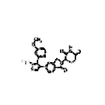 COc1cccc(-c2c(-c3ccc4c(c3)CN(C3CCC(=O)NC3=O)C4=O)cnn2C)c1